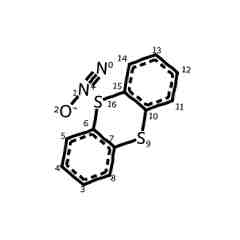 N#[N+][O-].c1ccc2c(c1)Sc1ccccc1S2